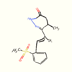 CC(=Cc1ccccc1S(C)(=O)=O)C1=NNC(=O)CC1C